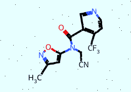 Cc1cc(N(CC#N)C(=O)c2cnccc2C(F)(F)F)on1